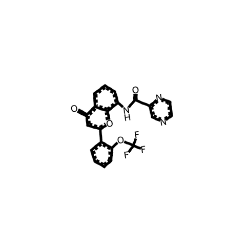 O=C(Nc1cccc2c(=O)cc(-c3ccccc3OC(F)(F)F)oc12)c1cnccn1